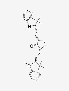 CN1C(=CC=C2CCC(=CC=C3N(C)c4ccccc4C3(C)C)C2=O)C(C)(C)c2ccccc21